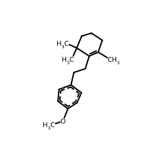 COc1ccc(CCC2=C(C)CCCC2(C)C)cc1